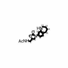 CC(=O)NCC1CN(c2ccc3c(c2)NCCCC3)C(=O)O1